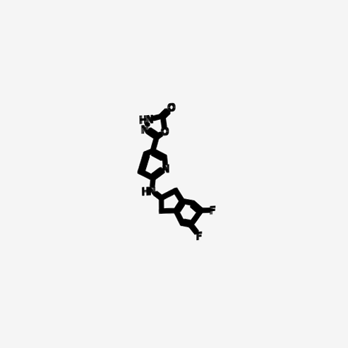 O=c1[nH]nc(-c2ccc(NC3Cc4cc(F)c(F)cc4C3)nc2)o1